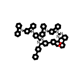 c1ccc(-c2ccc(-c3nc(-c4ccc(-n5c6ccccc6c6cc(-n7c8ccccc8c8ccccc87)ccc65)cc4)nc4cc(-c5ccc6c(-c7nc(-n8c9ccccc9c9cc(-n%10c%11ccccc%11c%11ccccc%11%10)ccc98)nc8cccc(-c9ccccc9)c78)cccc6c5)ccc34)cc2)cc1